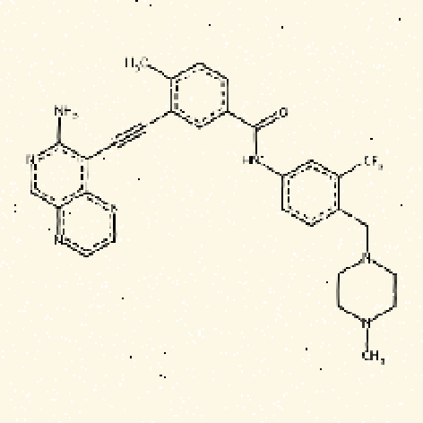 Cc1ccc(C(=O)Nc2ccc(CN3CCN(C)CC3)c(C(F)(F)F)c2)cc1C#Cc1c(N)ncc2nccnc12